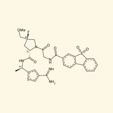 COC[C@@]1(F)C[C@@H](C(=O)N[C@H](C)c2cc(C(=N)N)cs2)N(C(=O)CNC(=O)c2ccc3c(c2)S(=O)(=O)c2ccccc2-3)C1